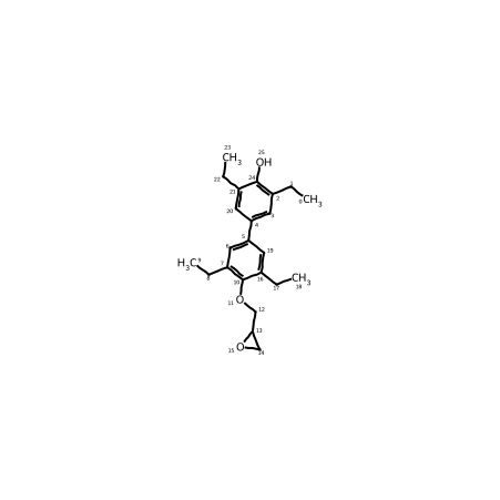 CCc1cc(-c2cc(CC)c(OCC3CO3)c(CC)c2)cc(CC)c1O